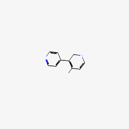 O=C(O)C1=C(c2ccncc2)CNC=C1